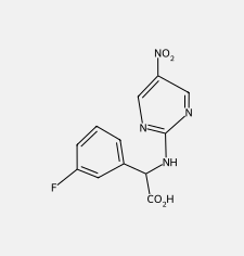 O=C(O)C(Nc1ncc([N+](=O)[O-])cn1)c1cccc(F)c1